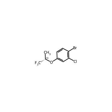 C[C@H](Oc1ccc(Br)c(Cl)c1)C(F)(F)F